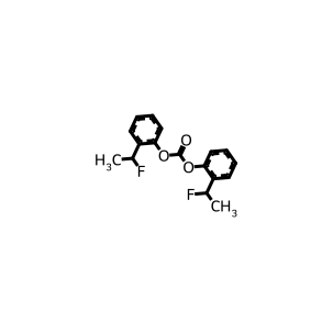 CC(F)c1ccccc1OC(=O)Oc1ccccc1C(C)F